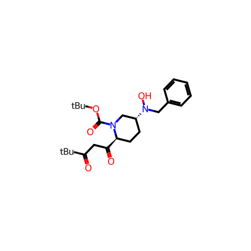 CC(C)(C)OC(=O)N1C[C@H](N(O)Cc2ccccc2)CC[C@H]1C(=O)CC(=O)C(C)(C)C